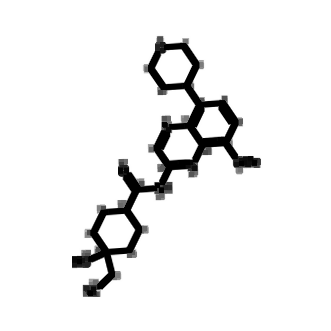 COc1ccc(C2CCOCC2)c2ncc(NC(=O)C3CCC(O)(CC#N)CC3)nc12